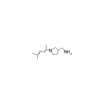 CC(C)=C/C=C(\C)N1CCC(CN)C1